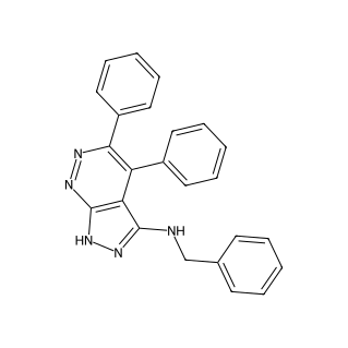 c1ccc(CNc2n[nH]c3nnc(-c4ccccc4)c(-c4ccccc4)c23)cc1